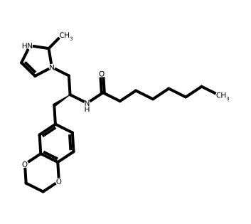 CCCCCCCC(=O)N[C@@H](Cc1ccc2c(c1)OCCO2)CN1C=CNC1C